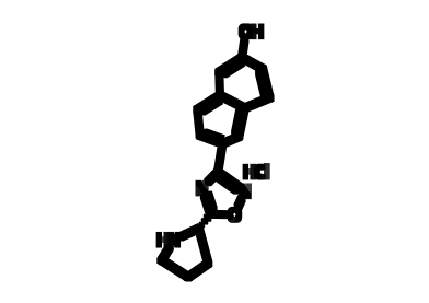 Cl.Oc1ccc2cc(-c3noc([C@@H]4CCCN4)n3)ccc2c1